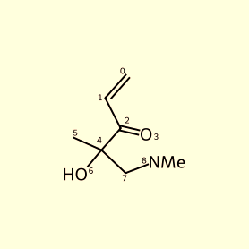 C=CC(=O)C(C)(O)CNC